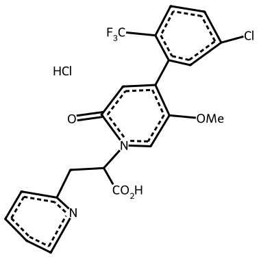 COc1cn(C(Cc2ccccn2)C(=O)O)c(=O)cc1-c1cc(Cl)ccc1C(F)(F)F.Cl